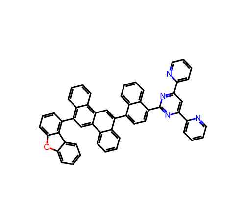 c1ccc(-c2cc(-c3ccccn3)nc(-c3ccc(-c4cc5c6ccccc6c(-c6cccc7oc8ccccc8c67)cc5c5ccccc45)c4ccccc34)n2)nc1